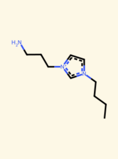 CCCCn1cc[n+](CCCN)c1